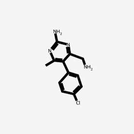 Cc1nc(N)nc(CN)c1-c1ccc(Cl)cc1